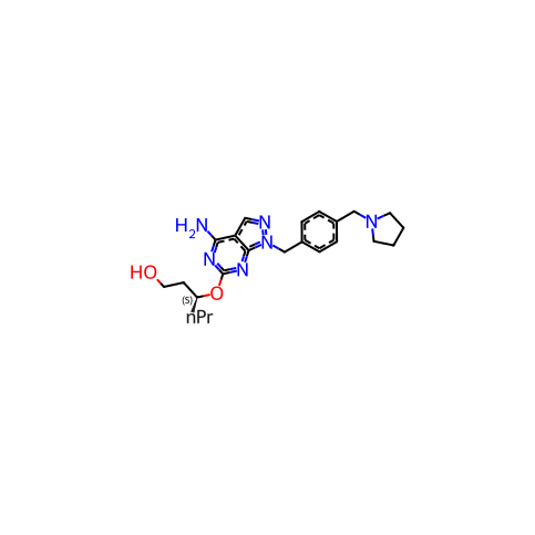 CCC[C@@H](CCO)Oc1nc(N)c2cnn(Cc3ccc(CN4CCCC4)cc3)c2n1